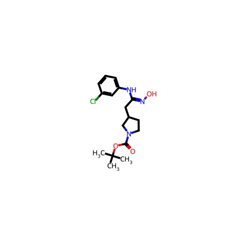 CC(C)(C)OC(=O)N1CCC(C/C(=N/O)Nc2cccc(Cl)c2)C1